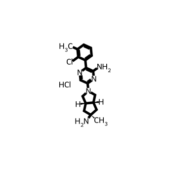 Cc1cccc(-c2ncc(N3C[C@@H]4C[C@@](C)(N)C[C@@H]4C3)nc2N)c1Cl.Cl